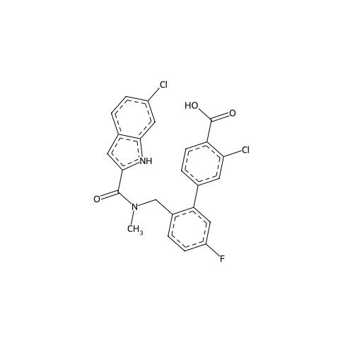 CN(Cc1ccc(F)cc1-c1ccc(C(=O)O)c(Cl)c1)C(=O)c1cc2ccc(Cl)cc2[nH]1